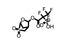 O=C(OC1OC2CC1CS2(=O)=O)C(F)(C(F)(F)F)S(=O)(=O)O